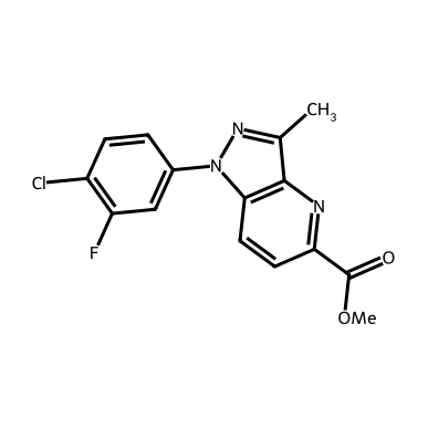 COC(=O)c1ccc2c(n1)c(C)nn2-c1ccc(Cl)c(F)c1